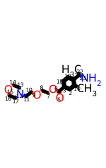 Cc1cc(C(=O)OCCOCCN2CCOCC2)ccc1C(C)N